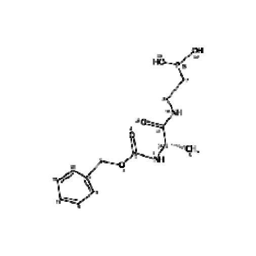 C[C@H](NC(=O)OCc1ccccc1)C(=O)NCCP(O)O